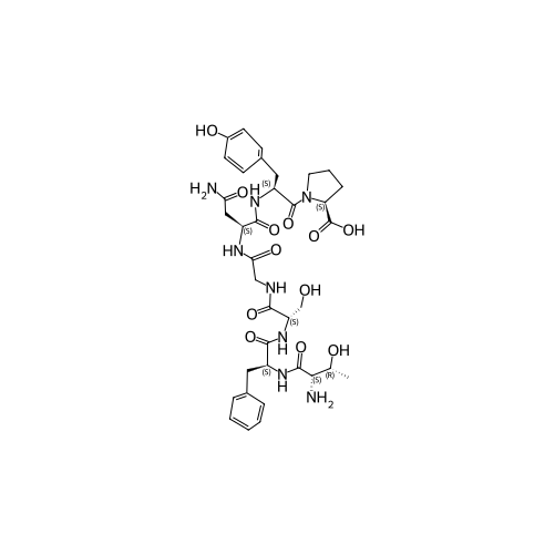 C[C@@H](O)[C@H](N)C(=O)N[C@@H](Cc1ccccc1)C(=O)N[C@@H](CO)C(=O)NCC(=O)N[C@@H](CC(N)=O)C(=O)N[C@@H](Cc1ccc(O)cc1)C(=O)N1CCC[C@H]1C(=O)O